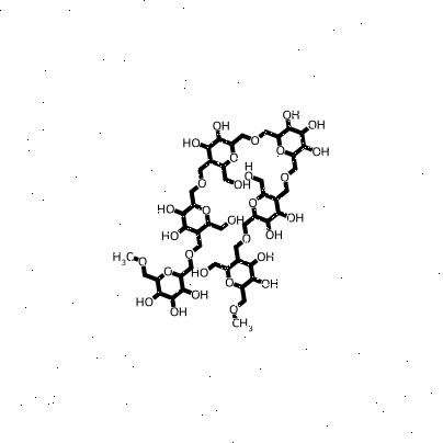 COCC1OC(COCC2C(CO)OC(COCC3C(CO)OC(COCC4OC(COCC5C(CO)OC(COCC6C(CO)OC(COC)C(O)C6O)C(O)C5O)C(O)C(O)C4O)C(O)C3O)C(O)C2O)C(O)C(O)C1O